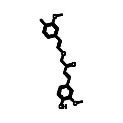 COc1cc(C=COCC(=O)C=Cc2ccc(O)c(OC)c2)ccc1C